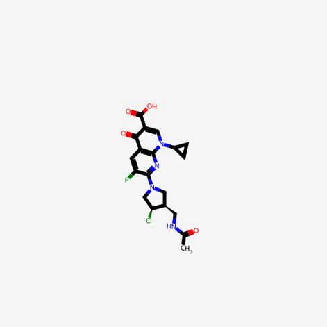 CC(=O)NC[C@@H]1CN(c2nc3c(cc2F)c(=O)c(C(=O)O)cn3C2CC2)C[C@@H]1Cl